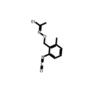 CCC(C)=NOCc1c(C)cccc1N=C=O